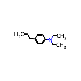 C=CCc1ccc(N(CC)CC)cc1